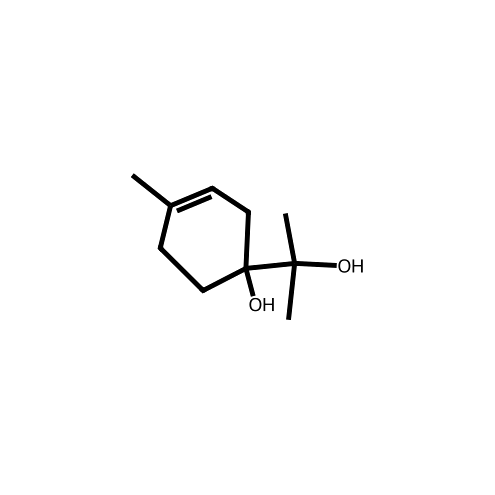 CC1=CCC(O)(C(C)(C)O)CC1